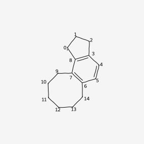 [CH]1CCc2ccc3c(c21)CCCCCC3